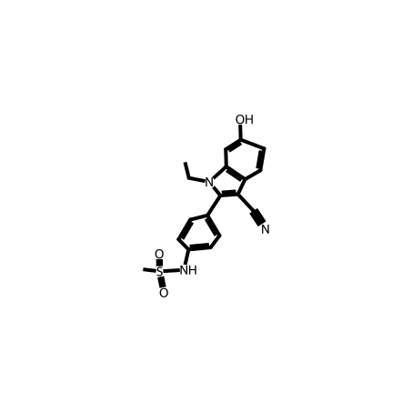 CCn1c(-c2ccc(NS(C)(=O)=O)cc2)c(C#N)c2ccc(O)cc21